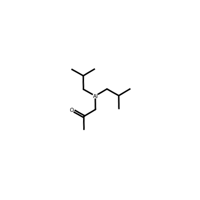 CC(=O)[CH2][Al]([CH2]C(C)C)[CH2]C(C)C